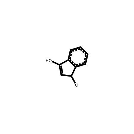 OC1=CC(Cl)c2ccccc21